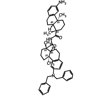 C[C@]1(C(=O)NC(=O)[C@@]2(C)CCC[C@]3(C)c4cc(N(Cc5ccccc5)Cc5ccccc5)ccc4CC[C@@H]23)CCC[C@]2(C)c3cc(N)ccc3CC[C@@H]12